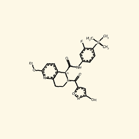 CCOc1ccc2c(n1)CCN(C(=O)c1cc(O)no1)[C@@H]2C(=O)Nc1ccc([Si](C)(C)C)c(F)c1